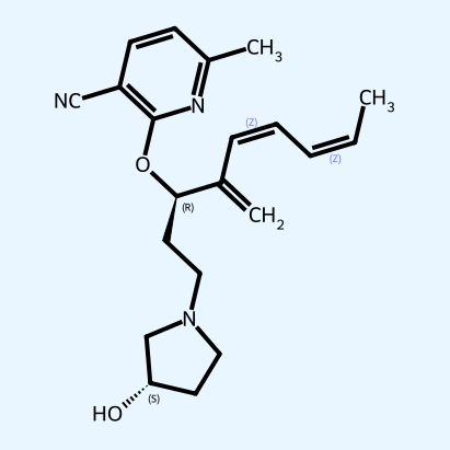 C=C(/C=C\C=C/C)[C@@H](CCN1CC[C@H](O)C1)Oc1nc(C)ccc1C#N